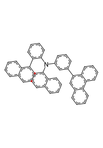 c1cc(-c2cc3ccccc3c3ccccc23)cc(N(c2ccccc2-c2cccc3ccccc23)c2cccc3ccccc23)c1